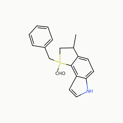 CC1CS(C=O)(Cc2ccccc2)c2c1ccc1[nH]ccc21